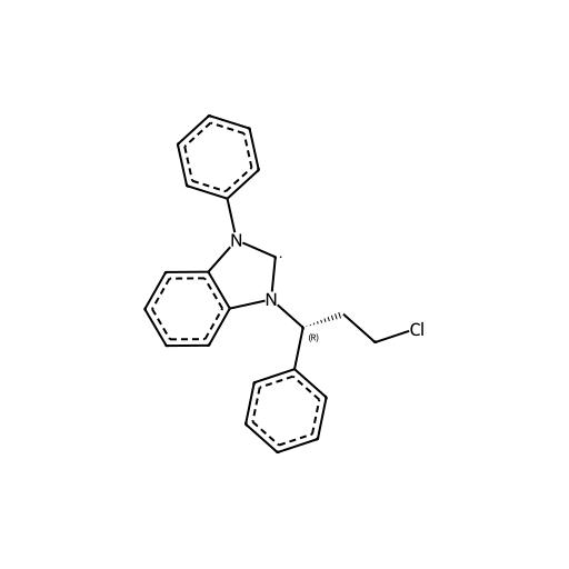 ClCC[C@H](c1ccccc1)N1[CH]N(c2ccccc2)c2ccccc21